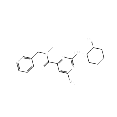 CN(Cc1ccccc1)C(=O)c1cc(N)nc(N[C@H]2CCCC[C@@H]2O)n1